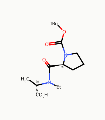 CCN(C(=O)[C@@H]1CCCN1C(=O)OC(C)(C)C)[C@@H](C)C(=O)O